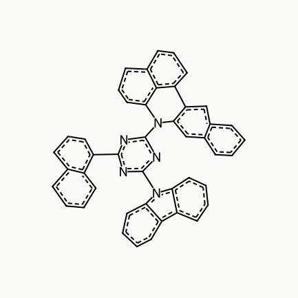 c1ccc2cc3c(cc2c1)-c1cccc2cccc(c12)N3c1nc(-c2cccc3ccccc23)nc(-n2c3ccccc3c3ccccc32)n1